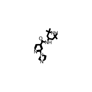 CC1(C)CC(NC(=O)c2ccnc(-n3ccnc3)c2)CC(C)(C)N1